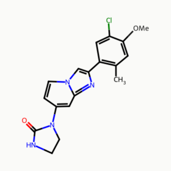 COc1cc(C)c(-c2cn3ccc(N4CCNC4=O)cc3n2)cc1Cl